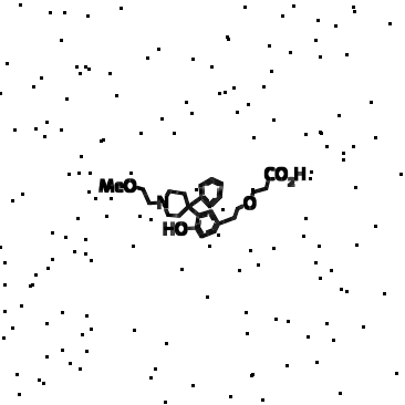 COCCN1CCC(c2ccccc2)(c2cc(CCOCCC(=O)O)ccc2O)CC1